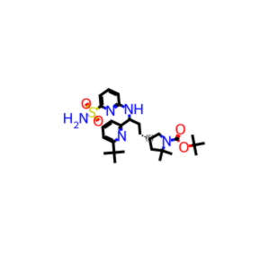 CC(C)(C)OC(=O)N1C[C@@H](CCC(Nc2cccc(S(N)(=O)=O)n2)c2cccc(C(C)(C)C)n2)CC1(C)C